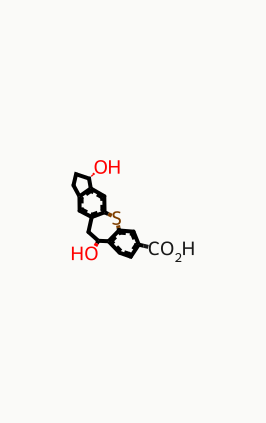 O=C(O)c1ccc2c(c1)Sc1cc3c(cc1CC2O)CC[C@@H]3O